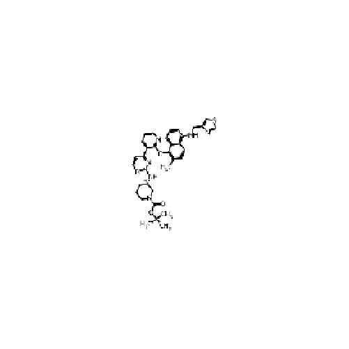 Cc1ccc2c(NCc3cscn3)cccc2c1Oc1ncccc1-c1ccnc(N[C@H]2CCCN(C(=O)OC(C)(C)C)C2)n1